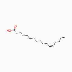 CCCC/C=C\CCCCCCCCCCC(=O)O